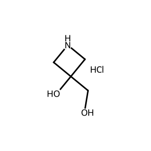 Cl.OCC1(O)CNC1